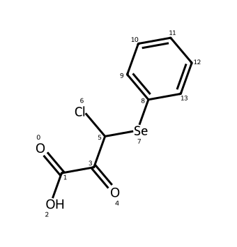 O=C(O)C(=O)C(Cl)[Se]c1ccccc1